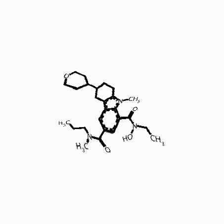 CCCN(C)C(=O)c1cc(C(=O)N(O)CC)c2c(c1)c1c(n2C)CCC(C2CCOCC2)C1